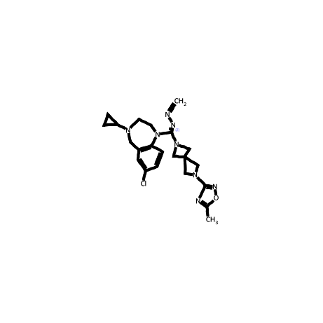 C=N/N=C(/N1CC2(C1)CN(c1noc(C)n1)C2)N1CCN(C2CC2)Cc2cc(Cl)ccc21